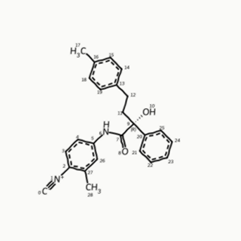 [C-]#[N+]c1ccc(NC(=O)[C@@](O)(CCc2ccc(C)cc2)c2ccccc2)cc1C